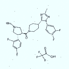 Cc1nc(C2CCN(C(=O)[C@@H]3CN(C(C)(C)C)C[C@H]3c3ccc(F)cc3F)CC2)n(-c2ccc(F)c(F)c2)n1.O=C(O)C(F)(F)F